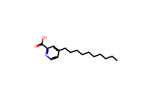 CCCCCCCCCCc1ccnc(C(=O)O)c1